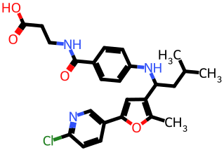 Cc1oc(-c2ccc(Cl)nc2)cc1C(CC(C)C)Nc1ccc(C(=O)NCCC(=O)O)cc1